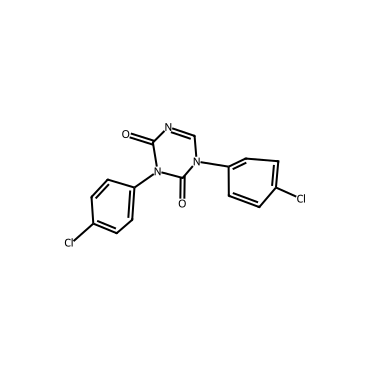 O=c1ncn(-c2ccc(Cl)cc2)c(=O)n1-c1ccc(Cl)cc1